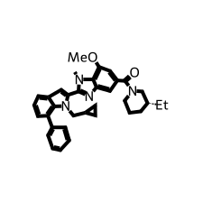 CC[C@@H]1CCCN(C(=O)c2cc(OC)c3c(c2)nc(-c2cc4cccc(-c5ccccc5)c4n2CC2CC2)n3C)C1